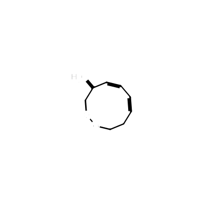 C=C1/C=C\C=C/CCOOC1